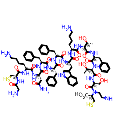 C[C@@H](O)[C@H](NC(=O)[C@H](CCCCN)NC(=O)[C@@H](Cc1c[nH]c2ccccc12)NC(=O)[C@H](Cc1ccccc1)NC(=O)[C@H](Cc1ccccc1)NC(=O)[C@H](Cc1ccccc1)NC(=O)[C@H](CC(N)=O)NC(=O)[C@H](CCCCN)NC(=O)[C@H](CS)NC(=O)CN)C(=O)N[C@@H](Cc1ccccc1)C(=O)N[C@H](C(=O)N[C@@H](CO)C(=O)N(CCN)[C@@H](CS)C(=O)O)[C@@H](C)O